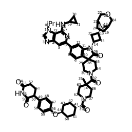 CC(C)n1cnc2cc(-c3ccc4c(c3)N([C@H]3C[C@@H](N5C6CCC5COC6)C3)C(=O)C43CCN(C(=O)C4(C)CCN(C(=O)[C@H]5CC[C@H](Oc6ccc(C7CCC(=O)NC7=O)cc6)CC5)CC4)CC3)nc(NC3CC3)c21